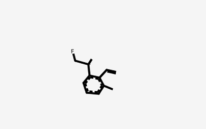 C=Cc1c(C)cccc1[C](C)CF